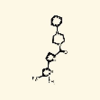 Cn1nc(-c2ccc(C(=O)N3CCN(c4ccccc4)CC3)s2)cc1C(F)(F)F